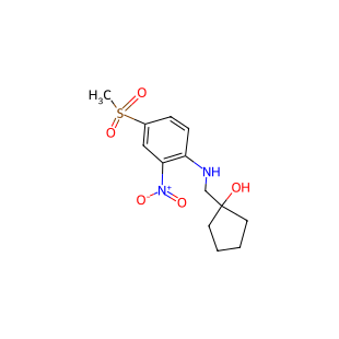 CS(=O)(=O)c1ccc(NCC2(O)CCCC2)c([N+](=O)[O-])c1